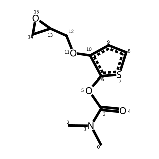 CN(C)C(=O)Oc1sccc1OCC1CO1